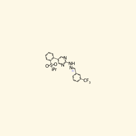 CC(C)S(=O)(=O)c1ccccc1-c1cnc(N/N=C/c2cccc(C(F)(F)F)c2)nc1